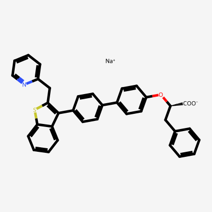 O=C([O-])[C@@H](Cc1ccccc1)Oc1ccc(-c2ccc(-c3c(Cc4ccccn4)sc4ccccc34)cc2)cc1.[Na+]